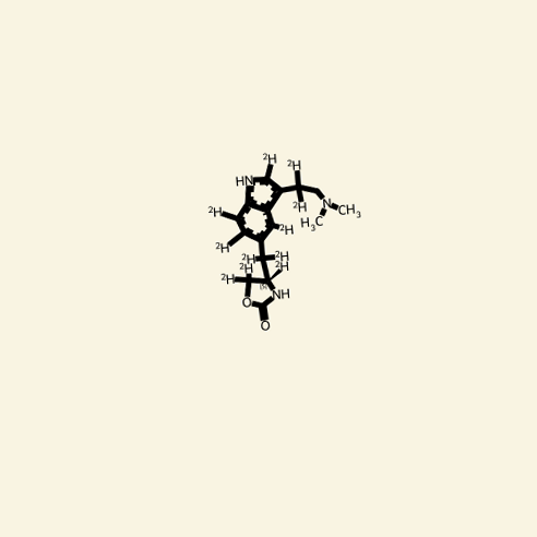 [2H]c1[nH]c2c([2H])c([2H])c(C([2H])([2H])[C@]3([2H])NC(=O)OC3([2H])[2H])c([2H])c2c1C([2H])([2H])CN(C)C